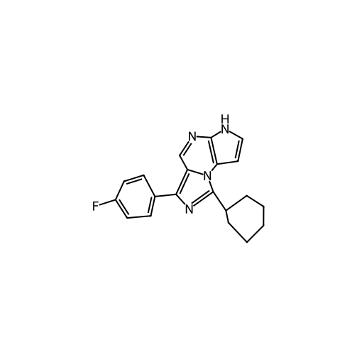 Fc1ccc(-c2nc(C3CCCCC3)n3c2cnc2[nH]ccc23)cc1